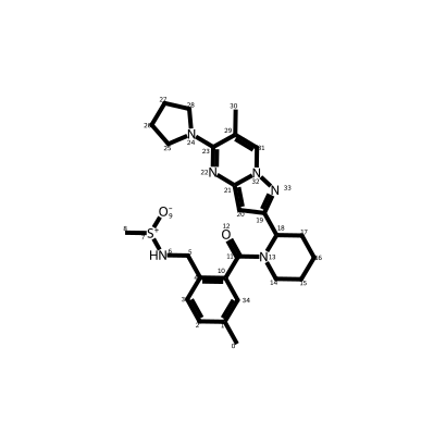 Cc1ccc(CN[S+](C)[O-])c(C(=O)N2CCCCC2c2cc3nc(N4CCCC4)c(C)cn3n2)c1